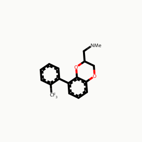 CNCC1COc2cccc(-c3ccccc3C(F)(F)F)c2O1